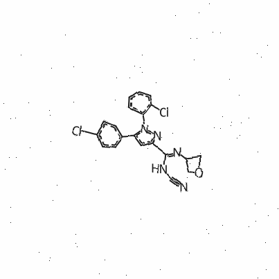 N#CNC(=NC1COC1)c1cc(-c2ccc(Cl)cc2)n(-c2ccccc2Cl)n1